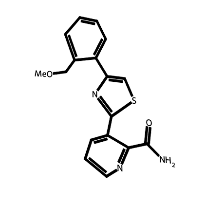 COCc1ccccc1-c1csc(-c2cccnc2C(N)=O)n1